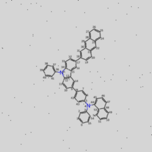 c1ccc(N(c2ccc(-c3ccc4c(c3)c3cc(-c5ccc6cc7ccccc7cc6c5)ccc3n4-c3ccccc3)cc2)c2cccc3ccccc23)cc1